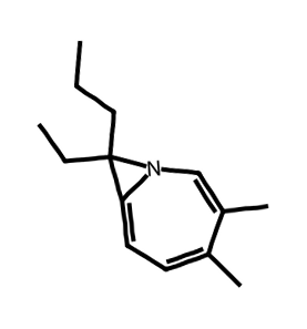 CCCC1(CC)C2=CC=C(C)C(C)=CN21